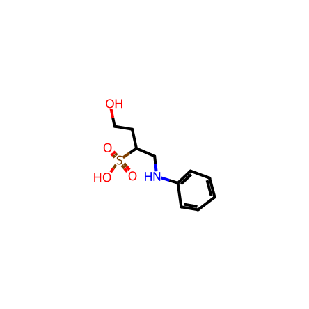 O=S(=O)(O)C(CCO)CNc1ccccc1